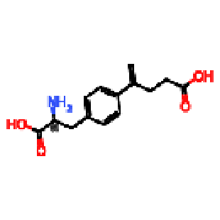 C=C(CCC(=O)O)c1ccc(C[C@H](N)C(=O)O)cc1